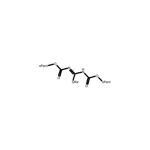 CCCCCOC(=O)/N=C(/NC(=O)OCCCCC)SC